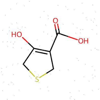 O=C(O)C1=C(O)CSC1